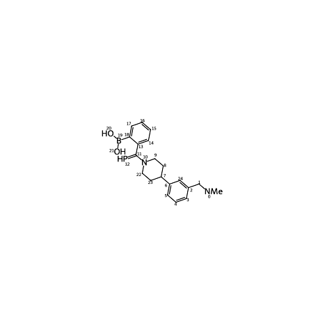 CNCc1cccc(C2CCN(C(=P)c3ccccc3B(O)O)CC2)c1